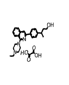 CCN1CCN(c2nc(-c3ccc(C(C)CCO)cc3)cc3ccccc23)CC1.O=C(O)C(=O)O